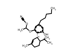 C=C(C)C1CCC(C)=C[C@@H]1c1c(O)cc(CCCCC)cc1OC(C)OC#N